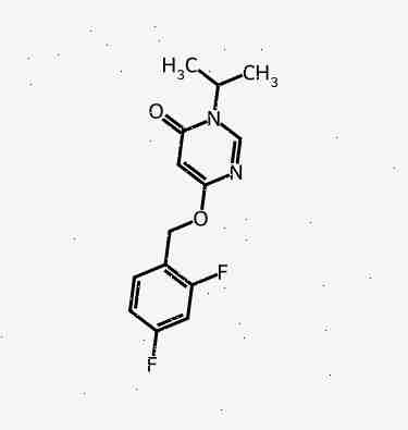 CC(C)n1cnc(OCc2ccc(F)cc2F)cc1=O